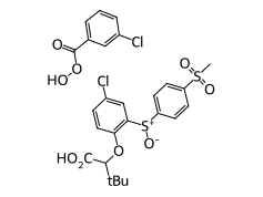 CC(C)(C)C(Oc1ccc(Cl)cc1[S+]([O-])c1ccc(S(C)(=O)=O)cc1)C(=O)O.O=C(OO)c1cccc(Cl)c1